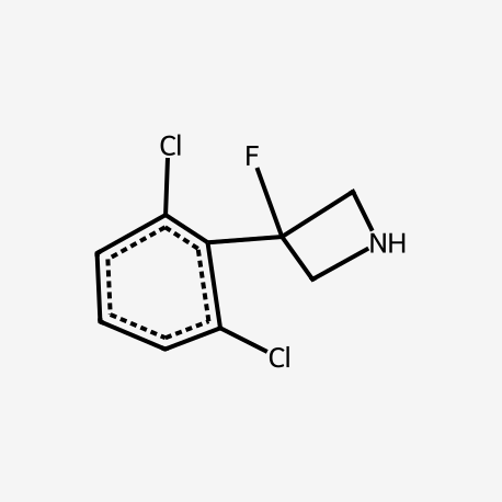 FC1(c2c(Cl)cccc2Cl)CNC1